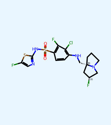 O=S(=O)(Nc1ncc(F)s1)c1ccc(NC[C@]23CCCN2C[C@@H](F)C3)c(Cl)c1F